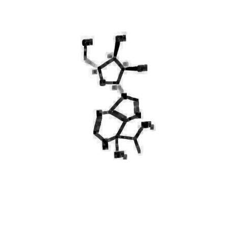 CC(N)C1(N)NC=Nc2c1ncn2[C@@H]1O[C@H](CO)[C@@H](O)[C@H]1O